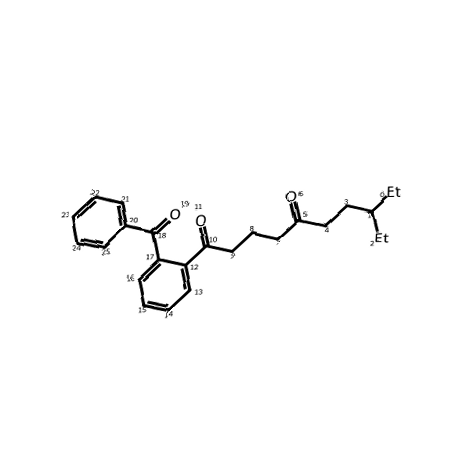 CCC(CC)CCC(=O)CCCC(=O)c1ccccc1C(=O)c1ccccc1